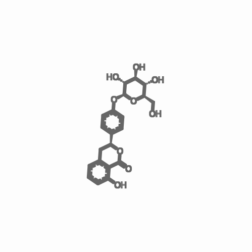 O=C1O[C@H](c2ccc(O[C@@H]3O[C@H](CO)[C@@H](O)[C@H](O)[C@H]3O)cc2)Cc2cccc(O)c21